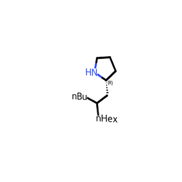 CCCCCCC(CCCC)C[C@H]1CCCN1